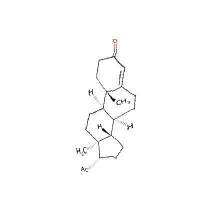 CC(=O)[C@H]1CC[C@H]2[C@@H]3CCC4=CC(=O)CC[C@@]4(C)[C@@H]3CC[C@]12C